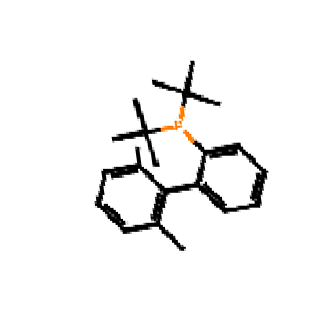 Cc1cccc(C)c1-c1ccccc1P(C(C)(C)C)C(C)(C)C